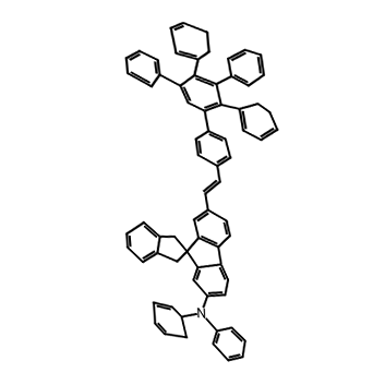 C1=CCCC(c2c(-c3ccccc3)cc(-c3ccc(/C=C/c4ccc5c(c4)C4(Cc6ccccc6C4)c4cc(N(c6ccccc6)C6C=CC=CC6)ccc4-5)cc3)c(C3=CC=CCC3)c2-c2ccccc2)=C1